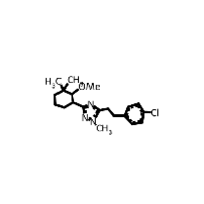 COC1C(c2nc(CCc3ccc(Cl)cc3)n(C)n2)CCCC1(C)C